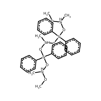 CO[SiH](C)O[Si](O[SiH](C)O[Si](O[SiH](C)OC)(c1ccccc1)c1ccccc1)(c1ccccc1)c1ccccc1